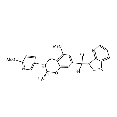 [2H]C([2H])(c1cc(OC)c2c(c1)O[C@@H](C)[C@H](c1ccc(OC)nc1)O2)n1cnc2cccnc21